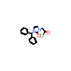 O=C(Cl)Cn1ccn(C(c2ccccc2)c2ccccc2)c1=O